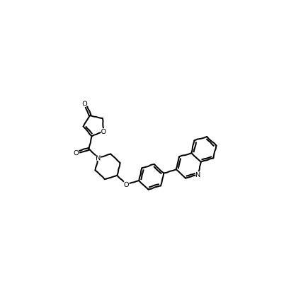 O=C1C=C(C(=O)N2CCC(Oc3ccc(-c4cnc5ccccc5c4)cc3)CC2)OC1